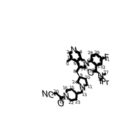 Cc1cncc2c1c(C[C@H]1CCN(CC3CCN(C(=O)CC#N)CC3)C1)cn2-c1ccc(F)cc1C(=O)N(C)C(C)C